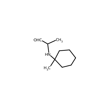 CC([C]=O)NC1(C)CCCCC1